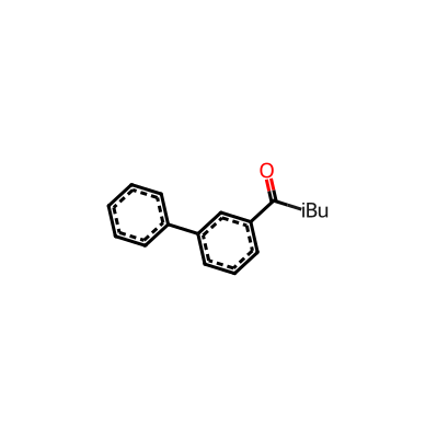 CCC(C)C(=O)c1cccc(-c2ccccc2)c1